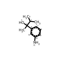 CC(C)C(C)(O)c1cccc(N)c1